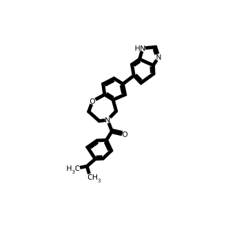 CC(C)c1ccc(C(=O)N2CCOc3ccc(-c4ccc5nc[nH]c5c4)cc3C2)cc1